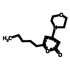 CCCCCc1cc(N2CCOCC2)cc(=O)o1